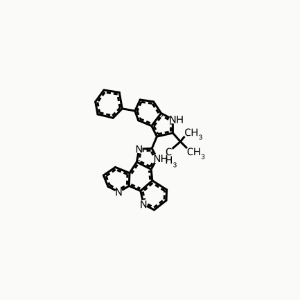 CC(C)(C)c1[nH]c2ccc(-c3ccccc3)cc2c1-c1nc2c3cccnc3c3ncccc3c2[nH]1